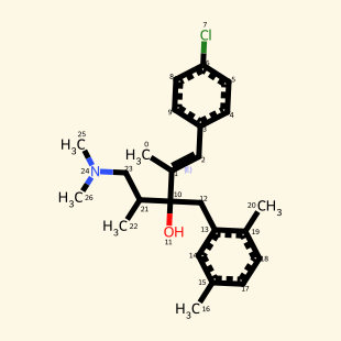 C/C(=C\c1ccc(Cl)cc1)C(O)(Cc1cc(C)ccc1C)C(C)CN(C)C